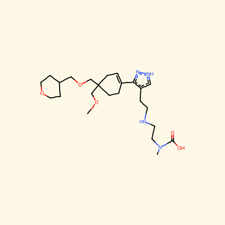 COCC1(COCC2CCOCC2)CC=C(c2n[nH]cc2CCNCCN(C)C(=O)O)CC1